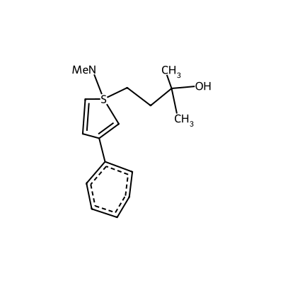 CNS1(CCC(C)(C)O)C=CC(c2ccccc2)=C1